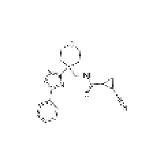 N#CC1CC1C(=O)NCC1(c2nc(-c3ccccc3)cs2)CCOCC1